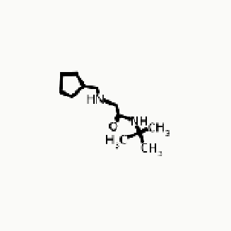 CC(C)(C)NC(=O)CNCC1CCCC1